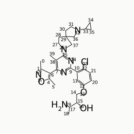 Cc1noc(C)c1-c1nc(-c2cc(OCC(O)C(C)N)ccc2Cl)nc(N2CCC3(CCN(C4CC4)C3)C2)c1C